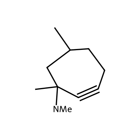 CNC1(C)C#CCCC(C)C1